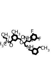 CCCN(C)C(=O)c1cc(C)cc(C(=O)OC(CNCc2cccc(CC)c2)C(N)Cc2cc(F)cc(F)c2)c1